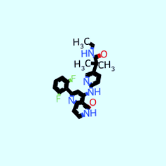 CCNC(=O)C(C)(C)c1ccc(Nc2cc(-c3c(F)cccc3F)nc3cc[nH]c(=O)c23)nc1